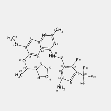 COc1cc2nc(C)nc(NCc3cc(N)cc(C(F)(F)F)c3F)c2cc1OC(C)[C@@H]1CCOC1